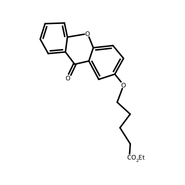 CCOC(=O)CCCCOc1ccc2oc3ccccc3c(=O)c2c1